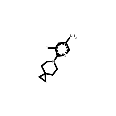 Nc1cnc(N2CCC3(CC2)CC3)c(F)c1